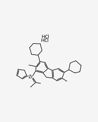 C[C](C)=[Zr]([C]1=CC=CC1)[c]1c(C)c(C2CCCCC2)cc2c1Cc1cc(C)c(C3CCCCC3)cc1-2.Cl.Cl